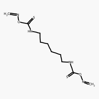 C=NOC(=S)NCCCCCCNC(=S)ON=C